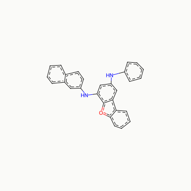 c1ccc(Nc2cc(Nc3ccc4ccccc4c3)c3oc4ccccc4c3c2)cc1